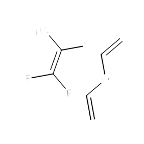 C=COC=C.FC(F)=C(F)S